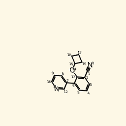 N#Cc1cccc(-c2cccnc2)c1OC1CCC1